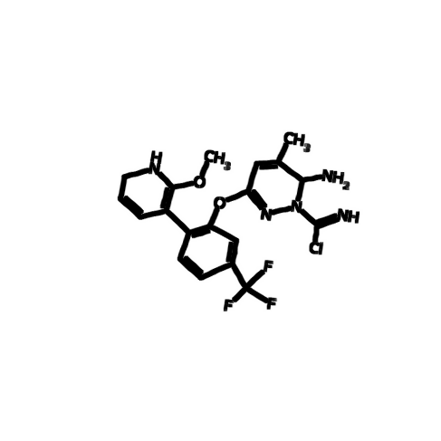 COC1=C(c2ccc(C(F)(F)F)cc2OC2=NN(C(=N)Cl)C(N)C(C)=C2)C=CCN1